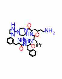 CC(C)C[C@@H](NC(=O)[C@@H](Cc1ccccc1)NC(=O)[C@H](N)Cc1ccccc1)C(=O)N[C@H](CCCCN)C(=O)N1CCCN(C2=NCCN2)CC1